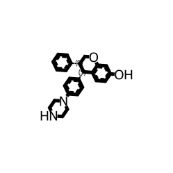 Oc1ccc2c(c1)OC[C@@H](c1ccccc1)[C@H]2c1ccc(N2CCNCC2)cc1